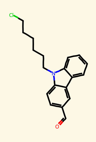 O=Cc1ccc2c(c1)c1ccccc1n2CCCCCCCl